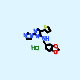 Cl.c1csc(-c2cnc(-n3ccnc3)nc2NCc2ccc3c(c2)OCO3)c1